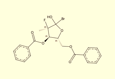 C[C@@]1(F)[C@H](OC(=O)c2ccccc2)[C@@H](COC(=O)c2ccccc2)OC1(O)Br